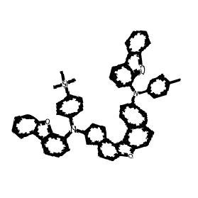 Cc1ccc(N(c2ccc3c(ccc4oc5ccc6cc(N(c7ccc([Si](C)(C)C)cc7)c7cccc8c7oc7ccccc78)ccc6c5c43)c2)c2cccc3c2oc2ccccc23)cc1